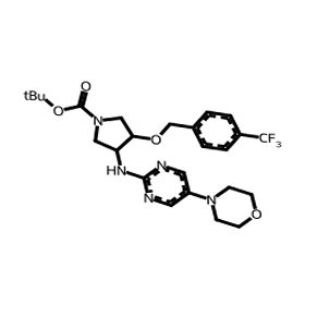 CC(C)(C)OC(=O)N1CC(Nc2ncc(N3CCOCC3)cn2)C(OCc2ccc(C(F)(F)F)cc2)C1